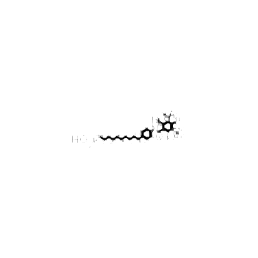 CC(=O)N(C)c1c(I)c(C(=O)Nc2ccc(CCCCCCCCCCC(=O)O)cc2)c(I)c(N(C)C(C)=O)c1I